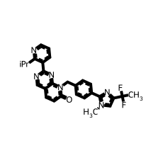 CC(C)c1ncccc1-c1ncc2ccc(=O)n(Cc3ccc(-c4nc(C(C)(F)F)cn4C)cc3)c2n1